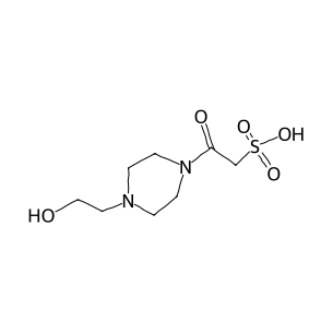 O=C(CS(=O)(=O)O)N1CCN(CCO)CC1